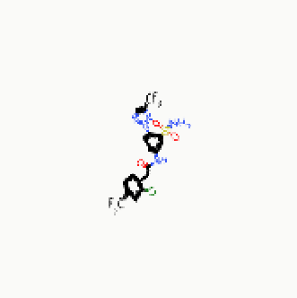 NS(=O)(=O)c1cc(NC(=O)Cc2ccc(C(F)(F)F)cc2Cl)ccc1-n1ncc(C(F)(F)F)n1